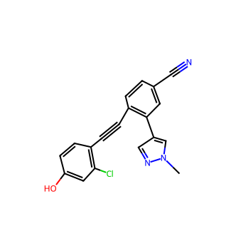 Cn1cc(-c2cc(C#N)ccc2C#Cc2ccc(O)cc2Cl)cn1